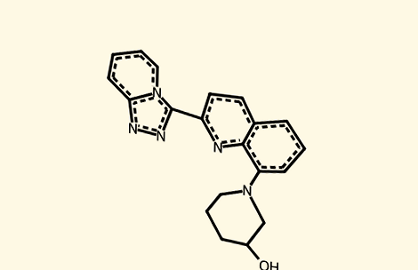 OC1CCCN(c2cccc3ccc(-c4nnc5ccccn45)nc23)C1